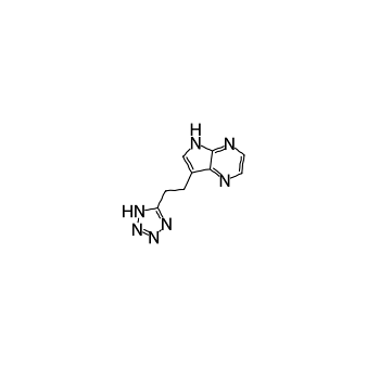 c1cnc2c(CCc3nnn[nH]3)c[nH]c2n1